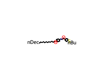 CCCCCCCCCCCCCCCCCCCCCCOc1ccc(/C=C/C(=O)c2ccc(SCCCC)cc2)cc1